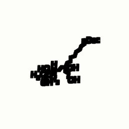 CCCCCCCCCCCCCCCCCCC(O)(CCCO)CCNC(=O)[C@H](O)C(C)(C)CO